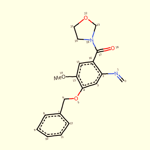 C=Nc1cc(OCc2ccccc2)c(OC)cc1C(=O)N1CCOC1